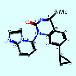 CNc1nc(=O)n(-c2cccc3nccn23)c2cc(C3CC3)ccc12